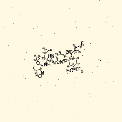 Cc1nonc1C(=O)N[C@@H](c1nc2nc([C@@H]3C[C@@](O)(C(F)(F)F)CCN3C(=O)C34CC(F)(C3)C4)ccc2[nH]1)C(C1CC1)C1CC1